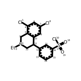 CCN1Cc2c(Cl)cc(Cl)cc2C(c2cccc(S(=O)(=O)Cl)c2)C1